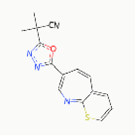 CC(C)(C#N)c1nnc(C2=CN=C3SC=CC=C3C=C2)o1